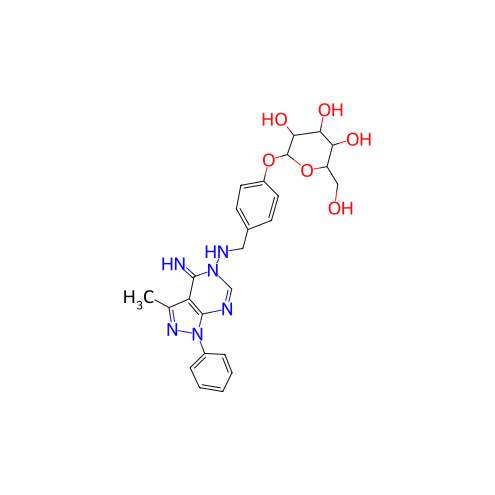 Cc1nn(-c2ccccc2)c2ncn(NCc3ccc(OC4OC(CO)C(O)C(O)C4O)cc3)c(=N)c12